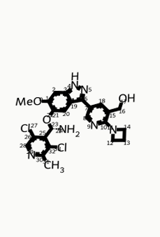 COc1cc2[nH]nc(-c3cnc(N4CCC4)c(CO)c3)c2cc1O[C@H](N)c1c(Cl)cnc(C)c1Cl